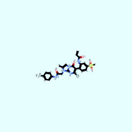 C=CC(=O)Nc1cc(S(C)(=O)=O)ccc1-c1c(CC)nc2n(CC(=O)Nc3ccc(C(F)(F)F)cc3)c(C)cn2c1=O